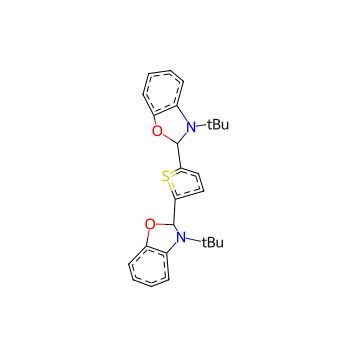 CC(C)(C)N1c2ccccc2OC1c1ccc(C2Oc3ccccc3N2C(C)(C)C)s1